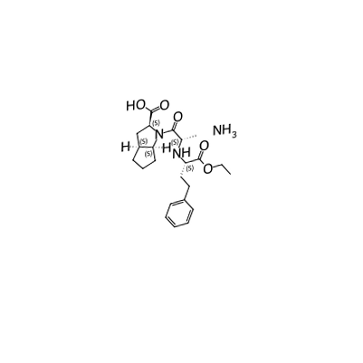 CCOC(=O)[C@H](CCc1ccccc1)N[C@@H](C)C(=O)N1[C@H](C(=O)O)C[C@@H]2CCC[C@@H]21.N